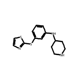 c1cc(NC2CCNCC2)cc(Sc2nccs2)c1